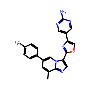 Cc1cc(-c2ccc(C(F)(F)F)cc2)cn2c(-c3nc(-c4cnc(N)nc4)co3)cnc12